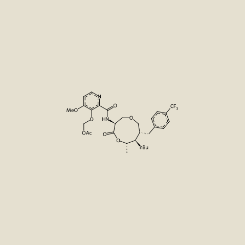 CCCC[C@@H]1[C@@H](Cc2ccc(C(F)(F)F)cc2)COC[C@H](NC(=O)c2nccc(OC)c2OCOC(C)=O)C(=O)O[C@H]1C